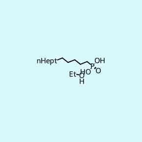 CCCCCCCCCCCCP(=O)(O)O.CCO